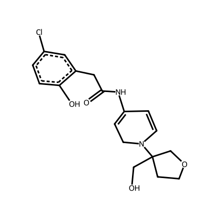 O=C(Cc1cc(Cl)ccc1O)NC1=CCN(C2(CO)CCOC2)C=C1